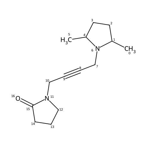 CC1CCC(C)N1CC#CCN1CCCC1=O